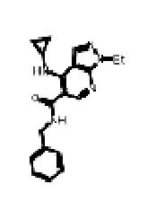 CCn1ncc2c(NC3CC3)c(C(=O)NCc3ccccc3)cnc21